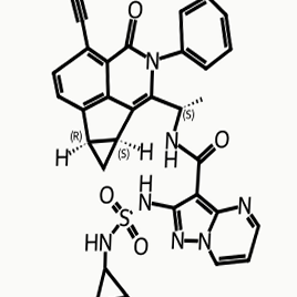 C#Cc1ccc2c3c(c([C@H](C)NC(=O)c4c(NS(=O)(=O)NC5CC5)nn5cccnc45)n(-c4ccccc4)c(=O)c13)[C@H]1C[C@@H]21